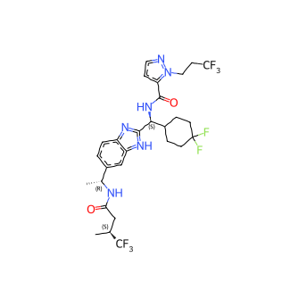 C[C@@H](NC(=O)C[C@H](C)C(F)(F)F)c1ccc2nc([C@@H](NC(=O)c3ccnn3CCC(F)(F)F)C3CCC(F)(F)CC3)[nH]c2c1